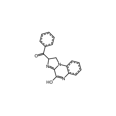 O=C(c1ccccc1)C1CN2C(=N1)C(O)=Nc1ccccc12